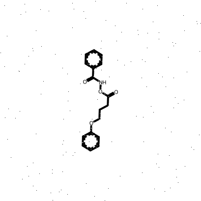 O=C(CCCOc1ccccc1)ONC(=O)c1ccccc1